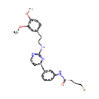 COc1ccc(CCNc2nccc(-c3cccc(NC(=O)CCCBr)c3)n2)cc1OC